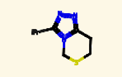 CC(C)c1nnc2n1CSCC2